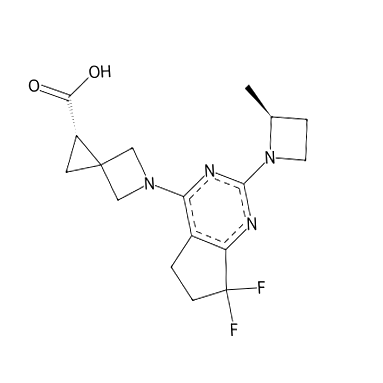 C[C@H]1CCN1c1nc(N2CC3(C[C@@H]3C(=O)O)C2)c2c(n1)C(F)(F)CC2